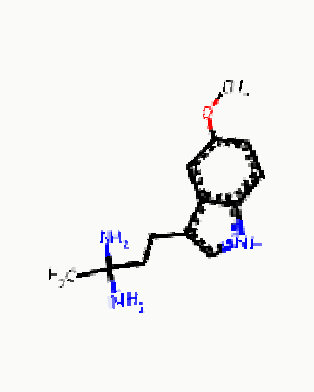 COc1ccc2[nH]cc(CCC(C)(N)N)c2c1